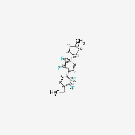 CCc1ccc(-c2ccc([C@H]3CC[C@H](C)CC3)c(F)c2F)c(F)c1F